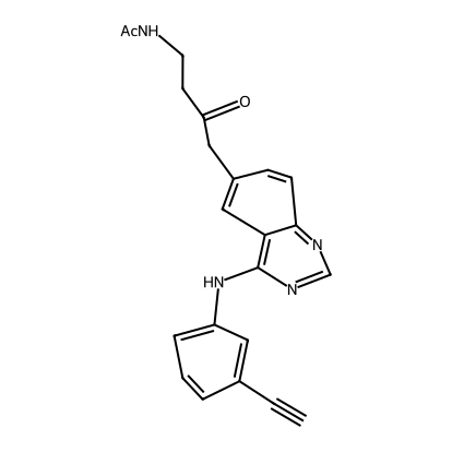 C#Cc1cccc(Nc2ncnc3ccc(CC(=O)CCNC(C)=O)cc23)c1